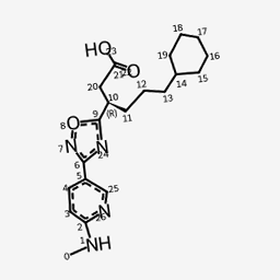 CNc1ccc(-c2noc([C@H](CCCC3CCCCC3)CC(=O)O)n2)cn1